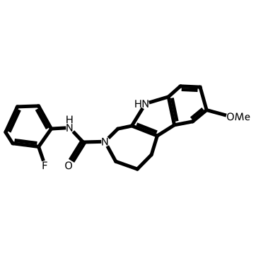 COc1ccc2[nH]c3c(c2c1)CCCN(C(=O)Nc1ccccc1F)C3